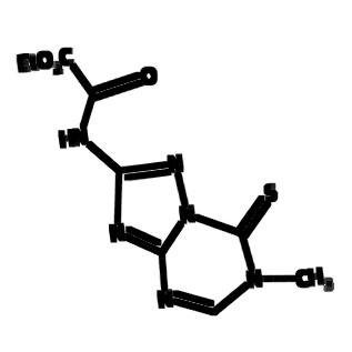 CCOC(=O)C(=O)Nc1nc2ncn(C)c(=S)n2n1